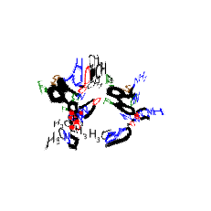 CN1CCC[C@H]1COc1nc(N2C3CNCC2COC3)c2cc(Cl)c(-c3ccc(F)c4sc(N)c(C#N)c34)c(F)c2n1.CN1CCC[C@H]1COc1nc(N2C3COCC2CN(C(=O)OC(C)(C)C)C3)c2cc(Cl)c(-c3ccc(F)c4sc(NC(=O)OC(C)(C)C)c(C#N)c34)c(F)c2n1